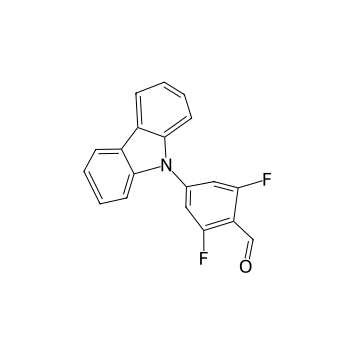 O=Cc1c(F)cc(-n2c3ccccc3c3ccccc32)cc1F